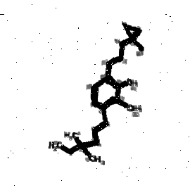 CCC(C)(C)CCCc1ccc(CCCC2(I)CC2)c(O)c1O